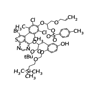 C=CCOCC(COS(=O)(=O)c1ccc(C)cc1)Oc1c(Cl)c(C)c(-c2c(Br)sc3ncnc(OC(Cc4cc(O)ccc4OCOCC[Si](C)(C)C)C(=O)OC(C)(C)C)c23)c(C)c1Cl